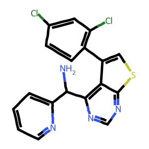 NC(c1ccccn1)c1ncnc2scc(-c3ccc(Cl)cc3Cl)c12